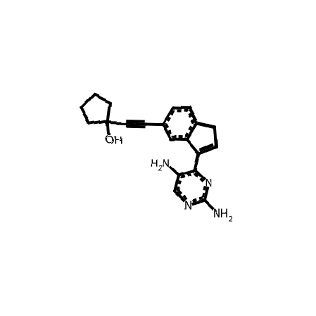 Nc1ncc(N)c(C2=CCc3ccc(C#CC4(O)CCCC4)cc32)n1